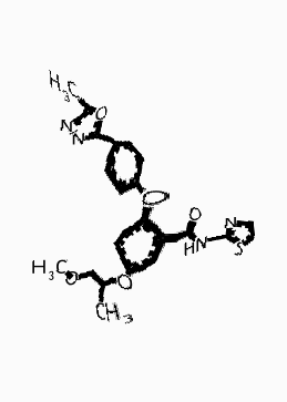 COCC(C)Oc1ccc(Oc2ccc(-c3nnc(C)o3)cc2)c(C(=O)Nc2nccs2)c1